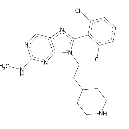 CNc1ncc2nc(-c3c(Cl)cccc3Cl)n(CCC3CCNCC3)c2n1